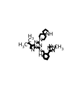 CC(C)c1cnn2c(NCc3ccccc3-c3nnn(C)n3)nc(N3CCC4(CCCN4)CC3)nc12